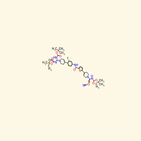 CC(C)(C)OC(=O)N=C(NC(=O)OC(C)(C)C)N1CC=C(c2ccc(NC(=O)c3ccc(C4=CCN(C(=BOC#N)NC(=O)OC(C)(C)C)CC4)s3)cc2F)CC1